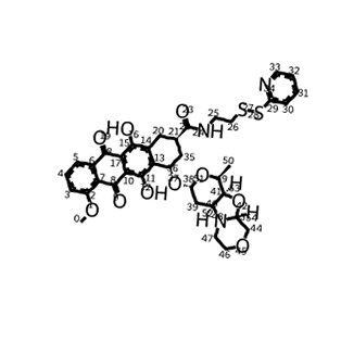 COc1cccc2c1C(=O)c1c(O)c3c(c(O)c1C2=O)C[C@@H](C(=O)NCCSSc1ccccn1)C[C@@H]3O[C@H]1C[C@H]2[C@H](O[C@@H]3COCCN32)[C@H](C)O1